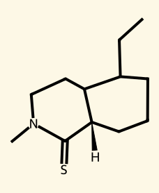 CCC1CCC[C@@H]2C(=S)N(C)CCC12